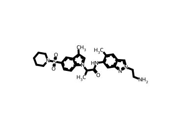 Cc1cc2cn(CCN)nc2cc1NC(=O)C(C)n1cc(C)c2cc(S(=O)(=O)N3CCCCC3)ccc21